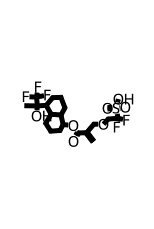 C=C(COCC(F)(F)S(=O)(=O)O)C(=O)OC1CCCC2C1CCCC2C(C)(O)C(F)(F)F